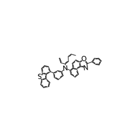 C=C/C(=C\C=C/C)N(c1cccc(-c2cccc3sc4ccccc4c23)c1)c1cccc2c1ccc1oc(-c3ccccc3)nc12